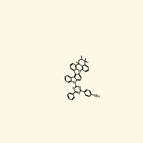 CC1CC2(C)c3c(cccc3C1(C)C)-n1c3ccc4c(c5ccccc5n4-c4nc(-c5ccccc5)nc(-c5ccc(C(C)(C)C)cc5)n4)c3c3cccc2c31